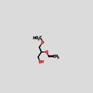 C=COC(CO)COC(=O)O